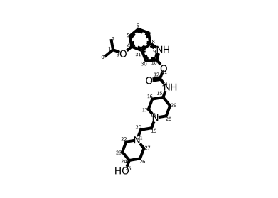 CC(C)Oc1cccc2[nH]c(OC(=O)NC3CCN(CCN4CCC(O)CC4)CC3)cc12